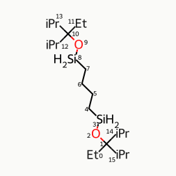 CCC(O[SiH2]CCCC[SiH2]OC(CC)(C(C)C)C(C)C)(C(C)C)C(C)C